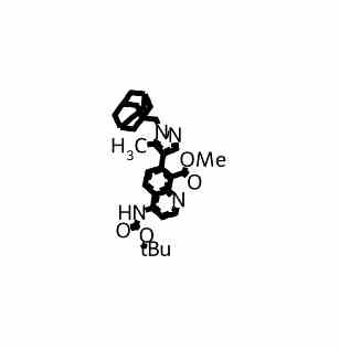 COC(=O)c1c(-c2cnn(CC34CC5CC(CC(C5)C3)C4)c2C)ccc2c(NC(=O)OC(C)(C)C)ccnc12